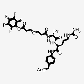 CC(=O)OCc1ccc(NC(=O)[C@H](CCCNC(N)=O)NC(=O)[C@@H](NC(=O)CCOCCC(=O)Oc2c(F)c(F)c(F)c(F)c2F)C(C)C)cc1